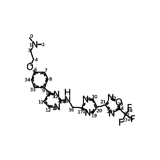 CN(C)CCOc1ccc(-c2ccnc(NCc3ncc(-c4noc(C(F)(F)F)n4)cn3)n2)cc1